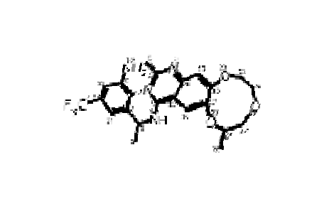 Cc1nc(NC(C)c2cc(N)cc(C(F)(F)F)c2)c2cc3c(cc2n1)OCCOCC(C)O3